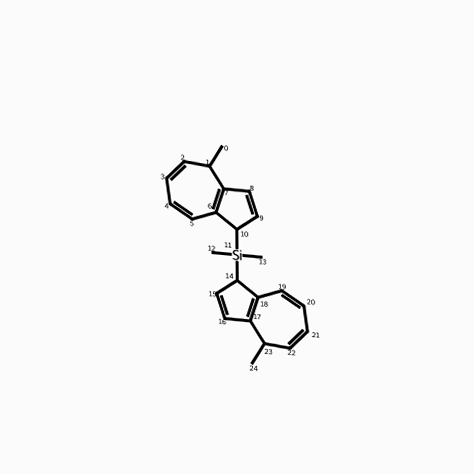 CC1C=CC=CC2=C1C=CC2[Si](C)(C)C1C=CC2=C1C=CC=CC2C